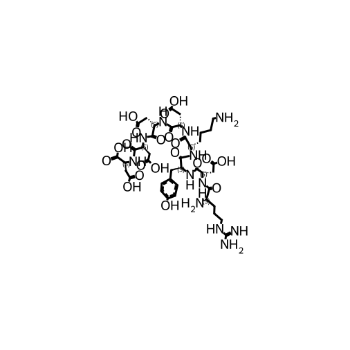 N=C(N)NCCC[C@H](N)C(=O)N[C@@H](CC(=O)O)C(=O)N[C@@H](Cc1ccc(O)cc1)C(=O)N[C@@H](CCCCN)C(=O)N[C@@H](CC(=O)O)C(=O)N[C@@H](CC(=O)O)C(=O)N[C@@H](CC(=O)O)C(=O)N[C@@H](CC(=O)O)C(=O)O